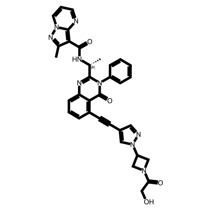 Cc1nn2cccnc2c1C(=O)N[C@H](C)c1nc2cccc(C#Cc3cnn(C4CN(C(=O)CO)C4)c3)c2c(=O)n1-c1ccccc1